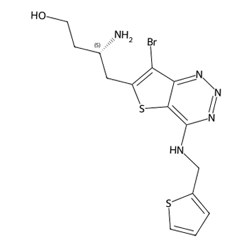 N[C@@H](CCO)Cc1sc2c(NCc3cccs3)nnnc2c1Br